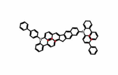 C1=C(c2ccccc2)C(N(c2ccc(-c3ccccc3)cc2)c2ccc3cc4c(cc3c2)Cc2cc3cc(N(c5ccc(-c6ccccc6)cc5)c5ccccc5-c5ccccc5)ccc3cc2-4)=CCC1